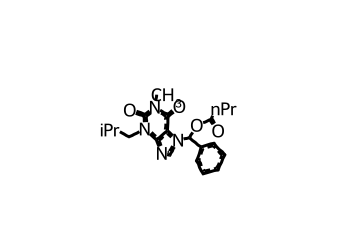 CCCC(=O)OC(c1ccccc1)n1cnc2c1c(=O)n(C)c(=O)n2CC(C)C